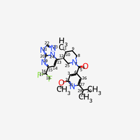 COc1cc(C(=O)N2CC[C@@H](C)[C@H](c3cc(C(F)F)nc4ncnn34)C2)cc(C(C)C)n1